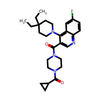 CCC1(CC)CCN(c2c(C(=O)N3CCN(C(=O)C4CC4)CC3)cnc3ccc(F)cc23)CC1